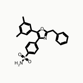 Cc1cc(C)cc(-c2oc(Cc3ccccc3)nc2-c2ccc(S(N)(=O)=O)cc2)c1